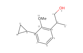 [CH2]C(CO)c1cccc(C2CC2)c1OC